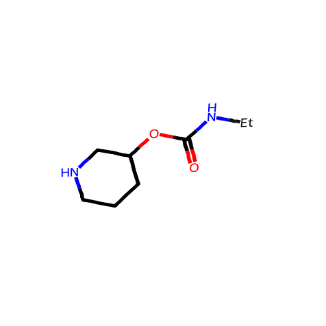 CCNC(=O)OC1CCCNC1